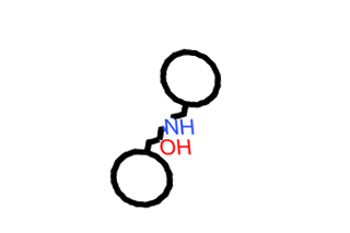 OC(CNCCC1CCCCCCCCCCCCCCC1)CC1CCCCCCCCCCCCCCC1